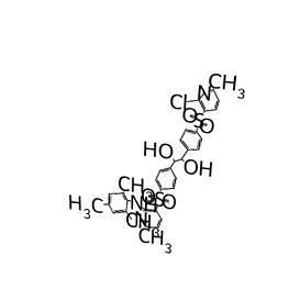 Cc1cc(C)c(Nc2nc(C)ccc2S(=O)(=O)c2ccc(C(O)C(O)c3ccc(S(=O)(=O)c4ccc(C)nc4Cl)cc3)cc2)c(C)c1